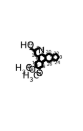 COc1cc2c3c(c4ncc(CO)cc4c2cc1OC)CC1CCCC1C3